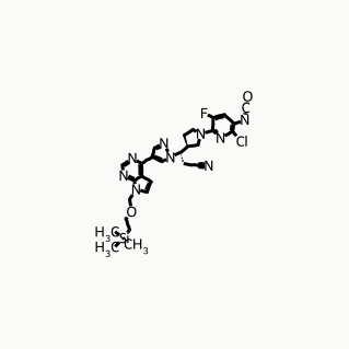 C[Si](C)(C)CCOCn1ccc2c(-c3cnn([C@@H](CC#N)[C@H]4CCN(c5nc(Cl)c(N=C=O)cc5F)C4)c3)ncnc21